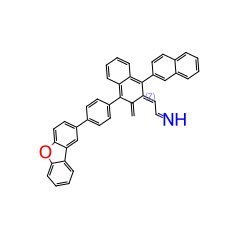 C=c1c(-c2ccc(-c3ccc4oc5ccccc5c4c3)cc2)c2ccccc2c(-c2ccc3ccccc3c2)/c1=C/C=N